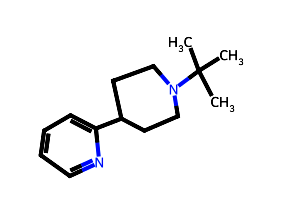 CC(C)(C)N1CCC(c2ccccn2)CC1